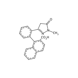 CN1N=C(c2ccccc2-c2c(C(=O)O)ccc3ccccc23)CC1=O